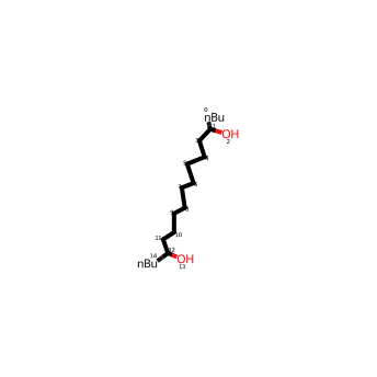 CCCCC(O)CCCCCCCCCC(O)CCCC